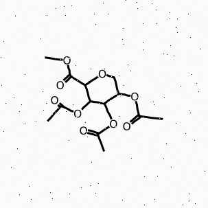 COC(=O)C1OCC(OC(C)=O)C(OC(C)=O)C1OC(C)=O